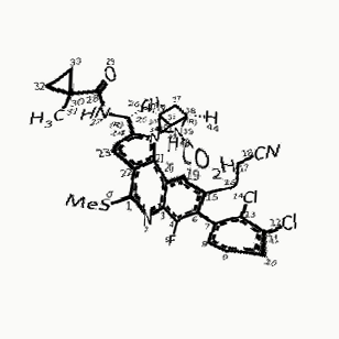 CSc1nc2c(F)c(-c3cccc(Cl)c3Cl)c(CCC#N)cc2c2c1cc([C@@H](C)NC(=O)C1(C)CC1)n2[C@H]1[C@@H]2C[C@H]1N(C(=O)O)C2